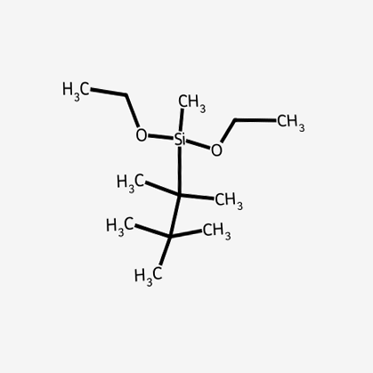 CCO[Si](C)(OCC)C(C)(C)C(C)(C)C